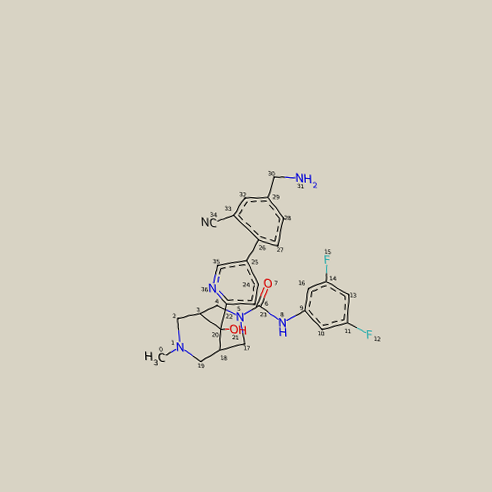 CN1CC2CN(C(=O)Nc3cc(F)cc(F)c3)CC(C1)C2(O)c1ccc(-c2ccc(CN)cc2C#N)cn1